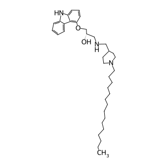 CCCCCCCCCCCCCCCN1CCC(CNC[C@H](O)COc2cccc3[nH]c4ccccc4c23)CC1